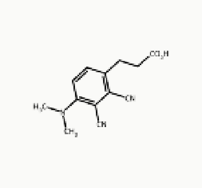 CN(C)c1ccc(CCC(=O)O)c(C#N)c1C#N